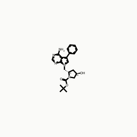 CC(C)(C)OC(=O)N1C[C@H](O)C[C@H]1Cn1cc(-c2ccccc2)c2c(N)ncnc21